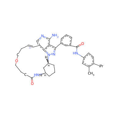 Cc1cc(NC(=O)c2cccc(-c3nn4c5c(cnc(N)c35)/C=C/CCOCCCC(=O)N[C@@H]3CCC[C@@H]4C3)c2)ccc1C(C)C